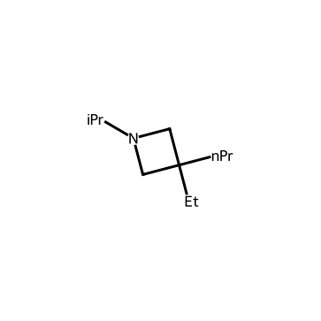 CCCC1(CC)CN(C(C)C)C1